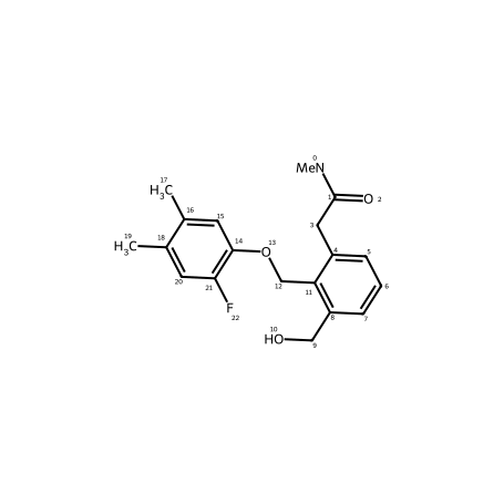 CNC(=O)Cc1cccc(CO)c1COc1cc(C)c(C)cc1F